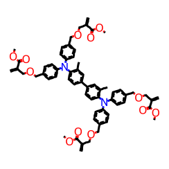 C=C(COCc1ccc(N(c2ccc(COCC(=C)C(=O)OC)cc2)c2ccc(-c3ccc(N(c4ccc(COCC(=C)C(=O)OC)cc4)c4ccc(COCC(=C)C(=O)OC)cc4)c(C)c3)cc2C)cc1)C(=O)OC